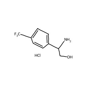 Cl.NC(CO)c1ccc(C(F)(F)F)cc1